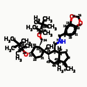 C=C1CC[C@H]2[C@H](CNCc3ccc4c(c3)OCO4)[C@@H]([C@@]3(C)CC[C@H](O[Si](C)(C)C(C)(C)C)C[C@@H]3CO[Si](C)(C)C(C)(C)C)CC[C@]12C